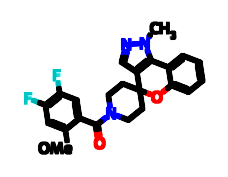 COc1cc(F)c(F)cc1C(=O)N1CCC2(CC1)Oc1ccccc1-c1c2cnn1C